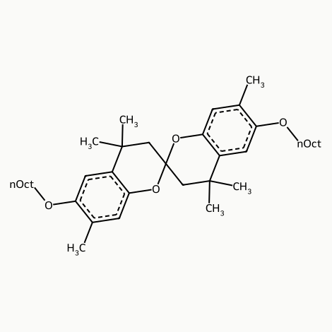 CCCCCCCCOc1cc2c(cc1C)OC1(CC2(C)C)CC(C)(C)c2cc(OCCCCCCCC)c(C)cc2O1